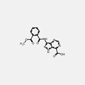 COC(=O)c1ccccc1C(=O)Nc1n[nH]c2c(C(=O)O)ncnc12